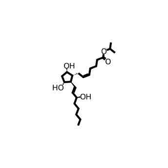 CCCCC[C@H](O)/C=C/[C@@H]1[C@@H](C/C=C\CCCC(=O)OC(C)C)[C@@H](O)C[C@H]1O